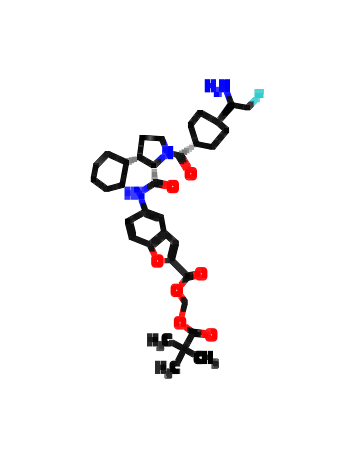 CC(C)(C)C(=O)OCOC(=O)c1cc2cc(NC(=O)[C@@H]3[C@H](C4CCCCC4)CCN3C(=O)[C@H]3CC[C@H](C(N)CF)CC3)ccc2o1